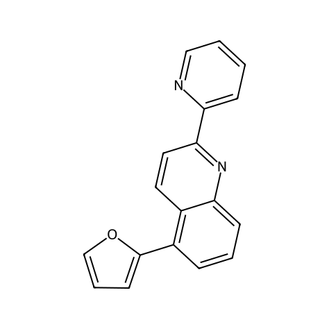 c1ccc(-c2ccc3c(-c4ccco4)cccc3n2)nc1